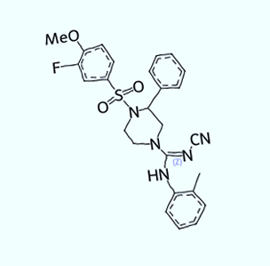 COc1ccc(S(=O)(=O)N2CCN(/C(=N\C#N)Nc3ccccc3C)CC2c2ccccc2)cc1F